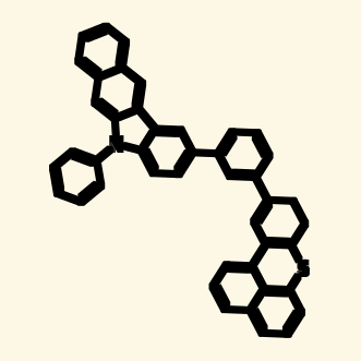 C1=C(c2cccc(-c3ccc4c(c3)c3cc5ccccc5cc3n4-c3ccccc3)c2)CCC2=C1c1cccc3cccc(c13)S2